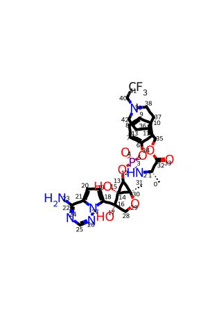 C[C@H](NP(=O)(Oc1ccccc1)OC1[C@]2(O)[C@](O)(c3ccc4c(N)ncnn34)CO[C@]12C)C(=O)OCC1CCN(CC(F)(F)F)CC1